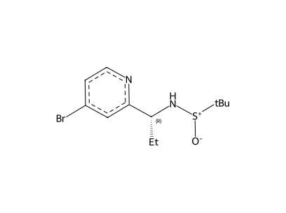 CC[C@@H](N[S+]([O-])C(C)(C)C)c1cc(Br)ccn1